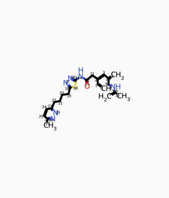 C=C/C(=C\C(=C)CNC(=C)C)CC(=O)Nc1nnc(CCCCc2ccc(C)nn2)s1